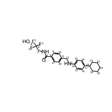 O=C(NCC(F)(F)C(=O)O)c1ccc(CNc2ccc(C3CCCCC3)cc2)cc1